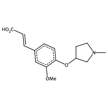 COc1cc(/C=C/C(=O)O)ccc1OC1CCN(C)C1